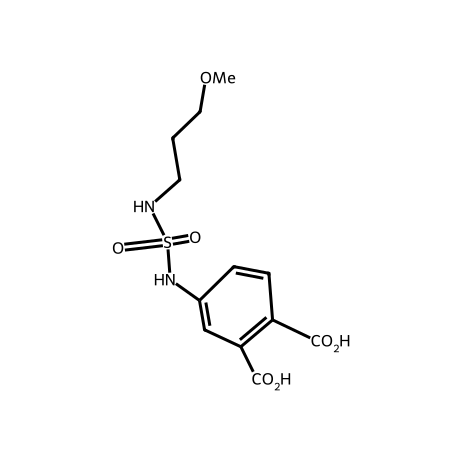 COCCCNS(=O)(=O)Nc1ccc(C(=O)O)c(C(=O)O)c1